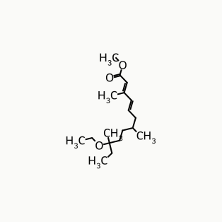 CCOC(C)(CC)CCC(C)C/C=C/C(C)=C/C(=O)OC